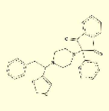 O=C1c2ccccc2C(=O)C1(c1ccccc1)N1CCN(C(Cc2ccccc2)C2=COCO2)CC1